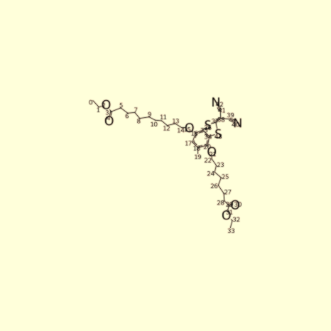 CCOC(=O)CCCCCCCCCCOc1cc(C)c(OCCCCCCCC(=O)OCC)c2c1SC(=C(C#N)C#N)S2